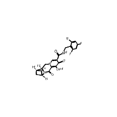 O=C(NCc1c(F)cc(F)cc1F)c1cn2c(c(O)c1=O)C(=O)N1[C@H]3C[C@@H](C3)[C@H]1C2